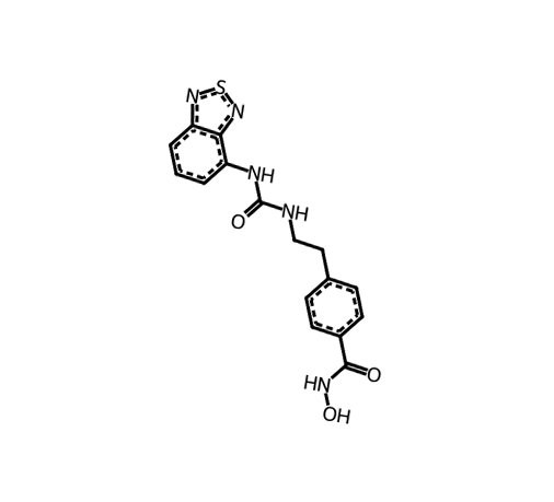 O=C(NCCc1ccc(C(=O)NO)cc1)Nc1cccc2nsnc12